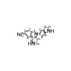 N#Cc1ccc(CN(c2ccc3c(c2)CCN3)C2CCNCC2)cc1